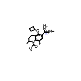 CN/C=C(\N)c1cc(F)c2c(c1OC1CCC1)CCC(C)N2C(=O)OC